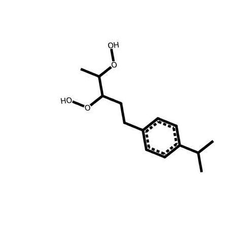 CC(C)c1ccc(CCC(OO)C(C)OO)cc1